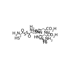 N[C@@H](CS)C(=O)SSC(=O)[C@@H](N)CS.N[C@@H](Cc1c[nH]cn1)C(=O)O.N[C@@H](Cc1c[nH]cn1)C(=O)O.[Fe].[Fe]